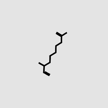 C=CC(C)C[CH]CCCC(=C)C